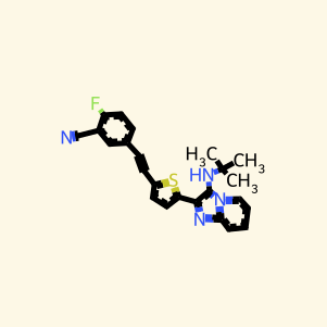 CC(C)(C)Nc1c(-c2ccc(C#Cc3ccc(F)c(C#N)c3)s2)nc2ccccn12